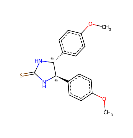 COc1ccc([C@H]2NC(=S)N[C@@H]2c2ccc(OC)cc2)cc1